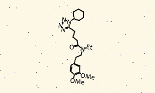 CCN(CCc1ccc(OC)c(OC)c1)C(=O)CCCc1nnnn1C1CCCCC1